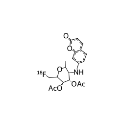 CC(=O)O[C@H]1C(C[18F])OC(C)C(Nc2ccc3ccc(=O)oc3c2)[C@@H]1OC(C)=O